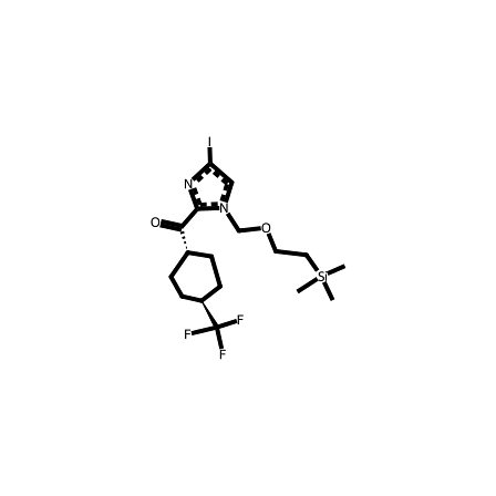 C[Si](C)(C)CCOCn1cc(I)nc1C(=O)[C@H]1CC[C@H](C(F)(F)F)CC1